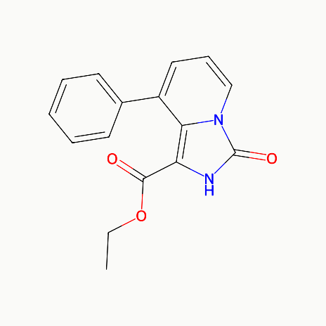 CCOC(=O)c1[nH]c(=O)n2cccc(-c3ccccc3)c12